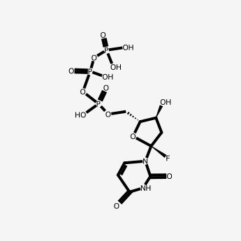 O=c1ccn([C@@]2(F)C[C@H](O)[C@@H](COP(=O)(O)OP(=O)(O)OP(=O)(O)O)O2)c(=O)[nH]1